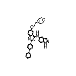 c1ccc(-c2ccc(-c3nc(Nc4ccc5[nH]ncc5c4)c4cc(OCCN5CCOCC5)ccc4n3)cc2)cc1